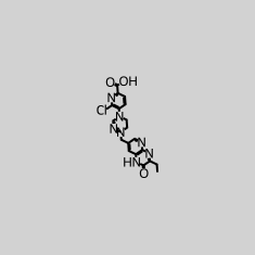 CCc1nc2ncc(CN3CCN(c4ccc(C(=O)O)nc4Cl)C=N3)cc2[nH]c1=O